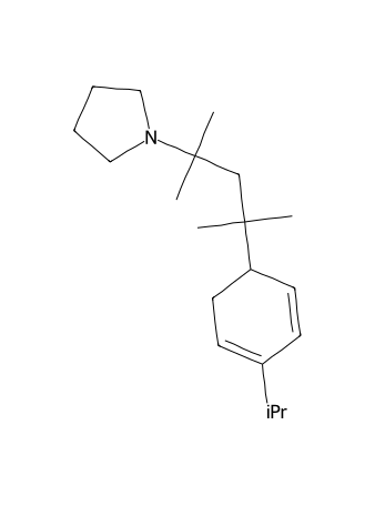 CC(C)C1=CCC(C(C)(C)CC(C)(C)N2CCCC2)C=C1